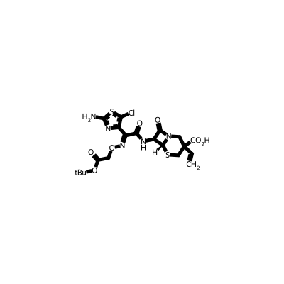 C=CC1(C(=O)O)CS[C@@H]2C(NC(=O)C(=NOCC(=O)OC(C)(C)C)c3nc(N)sc3Cl)C(=O)N2C1